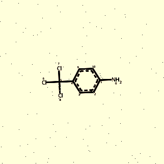 Nc1ccc(C(Cl)(Cl)Cl)cc1